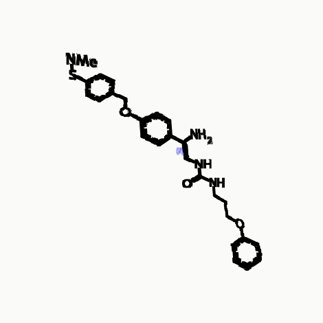 CNSc1ccc(COc2ccc(/C(N)=C/NC(=O)NCCCOc3ccccc3)cc2)cc1